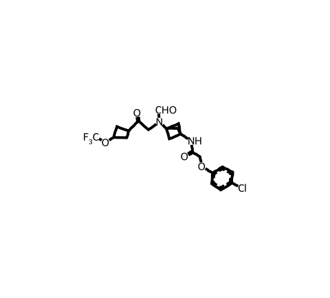 O=CN(CC(=O)C1CC(OC(F)(F)F)C1)C12CC(NC(=O)COc3ccc(Cl)cc3)(C1)C2